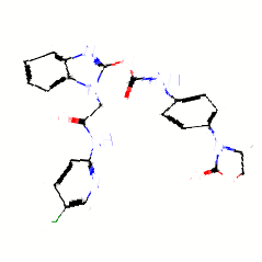 O=C(Cn1c(OC(=O)Nc2ccc(N3CCOC3=O)cc2)nc2ccccc21)Nc1ccc(Cl)cn1